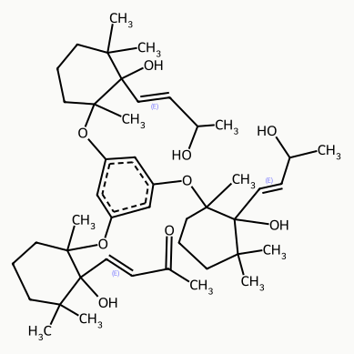 CC(=O)/C=C/C1(O)C(C)(C)CCCC1(C)Oc1cc(OC2(C)CCCC(C)(C)C2(O)/C=C/C(C)O)cc(OC2(C)CCCC(C)(C)C2(O)/C=C/C(C)O)c1